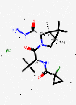 CC(C)(C)[C@H](NC(=O)C1(F)CC1)C(=O)N1C[C@H]2[C@@H]([C@H]1C(=O)NN)C2(C)C.Cl